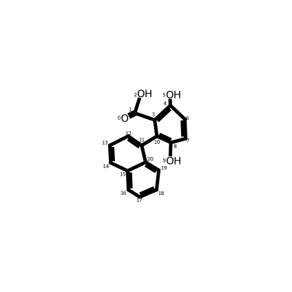 O=C(O)c1c(O)ccc(O)c1-c1cccc2ccccc12